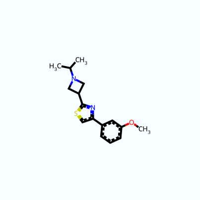 COc1cccc(-c2csc(C3CN(C(C)C)C3)n2)c1